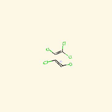 Cl/C=C/Cl.ClC=C(Cl)Cl